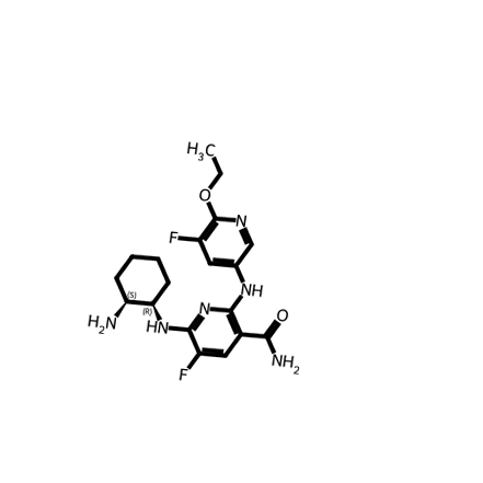 CCOc1ncc(Nc2nc(N[C@@H]3CCCC[C@@H]3N)c(F)cc2C(N)=O)cc1F